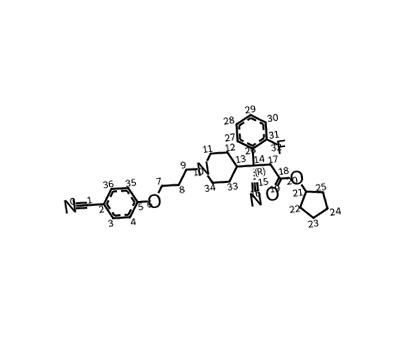 N#Cc1ccc(OCCCN2CCC([C@](C#N)(CC(=O)OC3CCCC3)c3ccccc3F)CC2)cc1